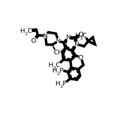 C=CC(=O)N1CCN(c2nc(=O)n(CC3(C)CC3)c3c4c(c(C)cc23)-c2c(ccc(P)c2P)CO4)[C@@H](C)C1